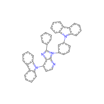 c1ccc(-c2nc3c(-n4c5ccccc5c5ccccc54)ccnc3n2-c2cccc(-n3c4ccccc4c4ccccc43)c2)cc1